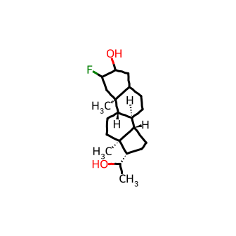 CC(O)[C@H]1CC[C@H]2[C@@H]3CCC4CC(O)C(F)C[C@]4(C)[C@H]3CC[C@]12C